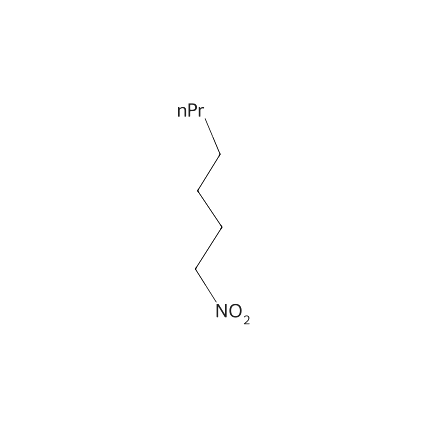 [CH2]CCCCCC[N+](=O)[O-]